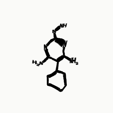 N=Nc1nc(N)c(-c2ccccc2)c(N)n1